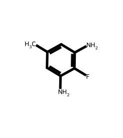 Cc1cc(N)c(F)c(N)c1